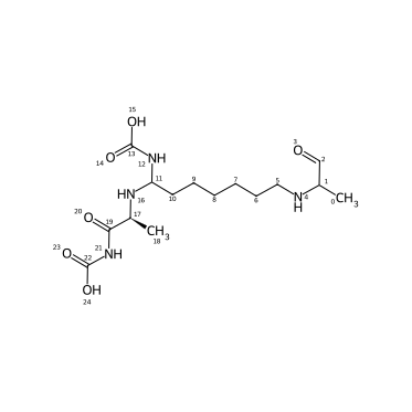 CC(C=O)NCCCCCCC(NC(=O)O)N[C@@H](C)C(=O)NC(=O)O